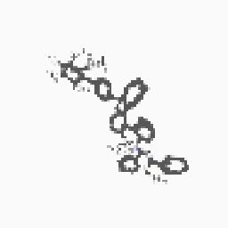 Bc1c(B)c(B)c(-c2ccc(-n3c4c(c5ccccc53)C(c3ccccc3/N=C(\N=C(/N=C)c3ccccc3)c3ccccc3)=C(NC)CC4)cc2)c(O)c1B